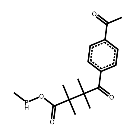 CPOC(=O)C(C)(C)C(C)(C)C(=O)c1ccc(C(C)=O)cc1